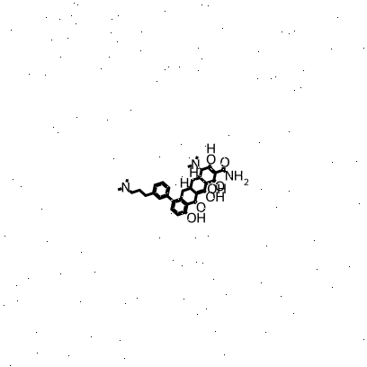 CN(C)CCCc1cccc(-c2ccc(O)c3c2C[C@H]2C[C@H]4[C@H](N(C)C)C(O)=C(C(N)=O)C(=O)[C@@]4(O)C(O)=C2C3=O)c1